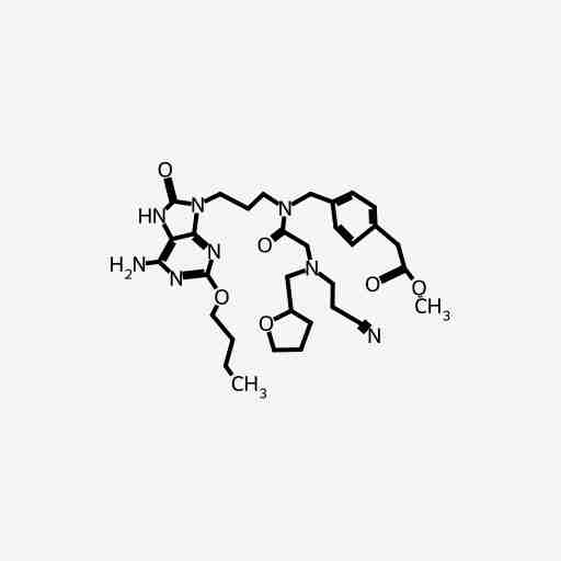 CCCCOc1nc(N)c2[nH]c(=O)n(CCCN(Cc3ccc(CC(=O)OC)cc3)C(=O)CN(CCC#N)CC3CCCO3)c2n1